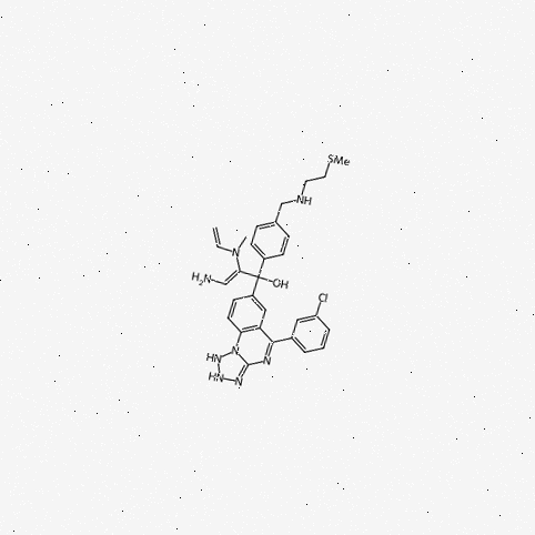 C=CN(C)/C(=C\N)C(O)(c1ccc(CNCCSC)cc1)c1ccc2c(c1)C(c1cccc(Cl)c1)=NC1=NNNN12